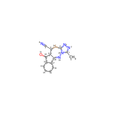 Cc1nnc2sc(C#N)c3c(=O)c4ccccc4c-3nn12